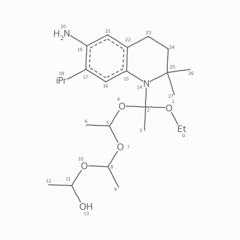 CCOC(C)(OC(C)OC(C)OC(C)O)N1c2cc(C(C)C)c(N)cc2CCC1(C)C